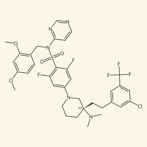 COc1ccc(CN(c2ccncn2)S(=O)(=O)c2c(F)cc(N3CCC[C@@](CCc4cc(Cl)cc(C(F)(F)F)c4)(N(C)C)C3)cc2F)c(OC)c1